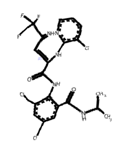 CC(C)NC(=O)c1cc(Cl)cc(Cl)c1NC(=O)/C(=C/C(=N)C(F)(F)F)Nc1ncccc1Cl